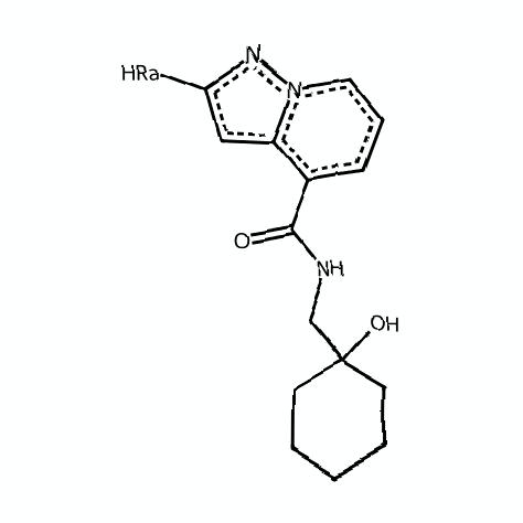 O=C(NCC1(O)CCCCC1)c1cccn2n[c]([RaH])cc12